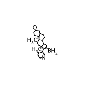 BC1=C(c2cccnc2)[C@@]2(C)CCC3C(CCC4=CC(=O)CC[C@@]43C)C2C1